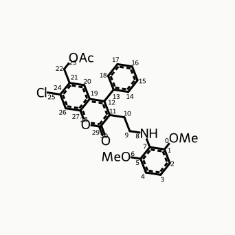 COc1cccc(OC)c1NCCc1c(-c2ccccc2)c2cc(COC(C)=O)c(Cl)cc2oc1=O